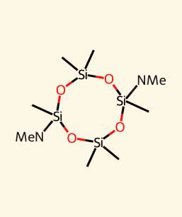 CN[Si]1(C)O[Si](C)(C)O[Si](C)(NC)O[Si](C)(C)O1